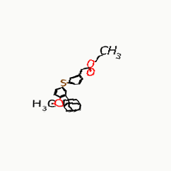 CCCCOC(=O)Cc1cccc(Sc2ccc(OC)c(C34CC5CC(CC(C5)C3)C4)c2)c1